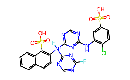 O=S(=O)(O)c1ccc(Cl)c(Nc2ncnc([N+](F)(c3ncnc(F)n3)c3ccc4ccccc4c3S(=O)(=O)O)n2)c1